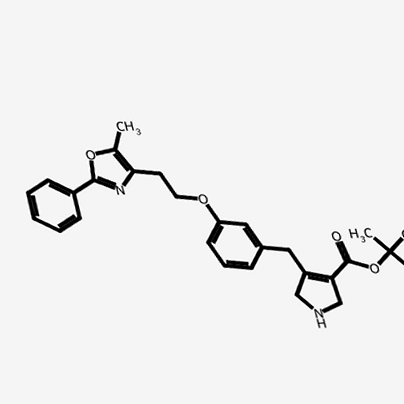 Cc1oc(-c2ccccc2)nc1CCOc1cccc(CC2=C(C(=O)OC(C)(C)C)CNC2)c1